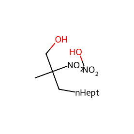 CCCCCCCCC(C)(CO)[N+](=O)[O-].O=[N+]([O-])O